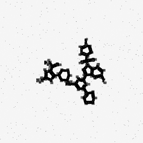 Cc1ccc(S(=O)(=O)n2cc(-c3nc(N[C@@H]4CCC[C@H](c5sc(N)nc5C(N)=O)C4)cc(-c4ccccc4)n3)c3cc(F)cnc32)cc1